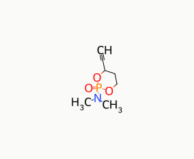 C#CC1CCOP(=O)(N(C)C)O1